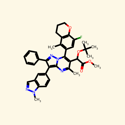 COC(=O)C(OC(C)(C)C)c1c(C)nc2c(-c3ccc4c(cnn4C)c3)c(-c3ccccc3)nn2c1-c1cc(F)c2c(c1C)CCCO2